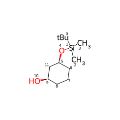 CC(C)(C)[Si](C)(C)O[C@H]1CCC[C@@H](O)C1